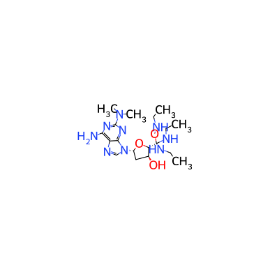 CCNOC(NCC)(NCC)[C@H]1O[C@@H](n2cnc3c(N)nc(N(C)C)nc32)C[C@@H]1O